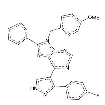 COc1ccc(Cn2c(-c3ccccc3)nc3c(-c4c[nH]nc4-c4ccc(F)cc4)ncnc32)cc1